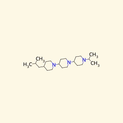 CC(C)CC1CCN(C2CCN(C3CCN(C(C)C)CC3)CC2)CC1